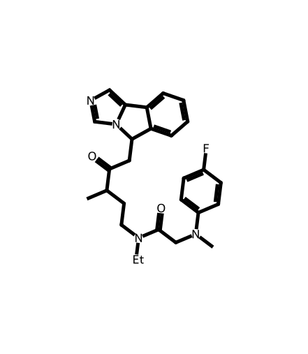 CCN(CCC(C)C(=O)CC1c2ccccc2-c2cncn21)C(=O)CN(C)c1ccc(F)cc1